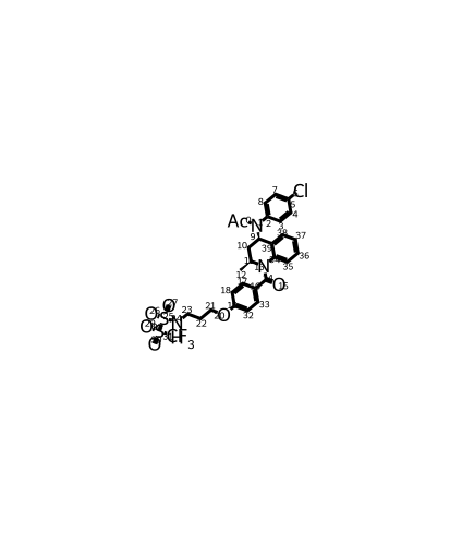 CC(=O)N(c1ccc(Cl)cc1)[C@@H]1C[C@H](C)N(C(=O)c2ccc(OCCCNS(=O)(=O)S(=O)(=O)C(F)(F)F)cc2)c2ccccc21